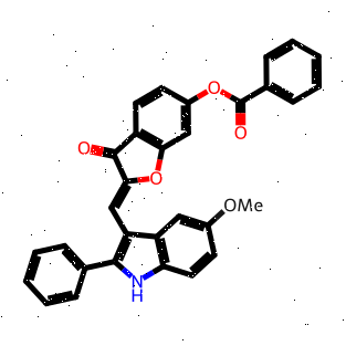 COc1ccc2[nH]c(-c3ccccc3)c(C=C3Oc4cc(OC(=O)c5ccccc5)ccc4C3=O)c2c1